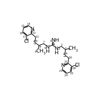 CC(CNC(=N)NCC(C)SCc1ncccc1Cl)SCc1ncccc1Cl